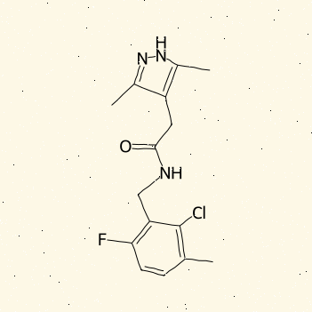 Cc1ccc(F)c(CNC(=O)Cc2c(C)n[nH]c2C)c1Cl